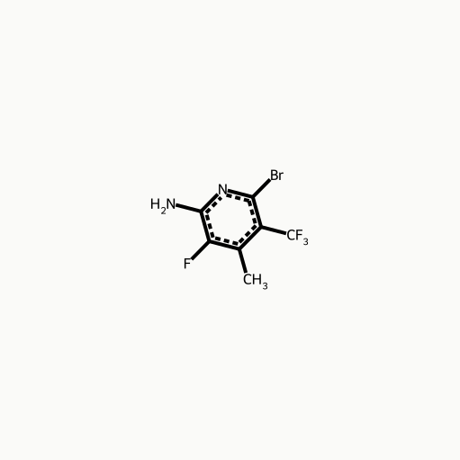 Cc1c(F)c(N)nc(Br)c1C(F)(F)F